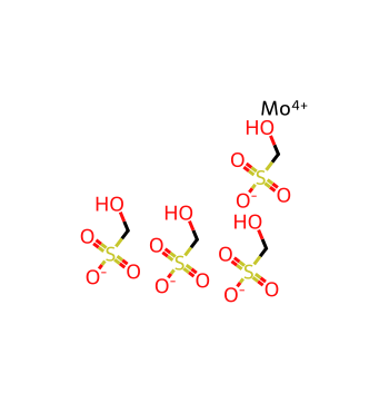 O=S(=O)([O-])CO.O=S(=O)([O-])CO.O=S(=O)([O-])CO.O=S(=O)([O-])CO.[Mo+4]